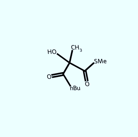 CCCCC(=O)C(C)(O)C(=O)SC